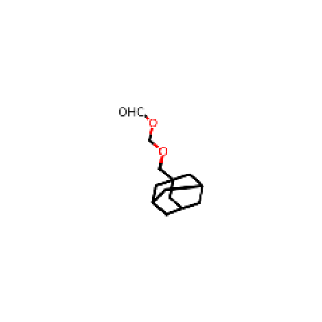 O=COCOCC12CC3CC(CC(C3)C1)C2